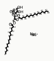 CCCCCCCCCCCCCCCC(=O)OC[C@H](COC(C(O)CO)P(=O)([O-])[O-])OC(=O)CCCCCCCCCCCCCCC.[Na+].[Na+]